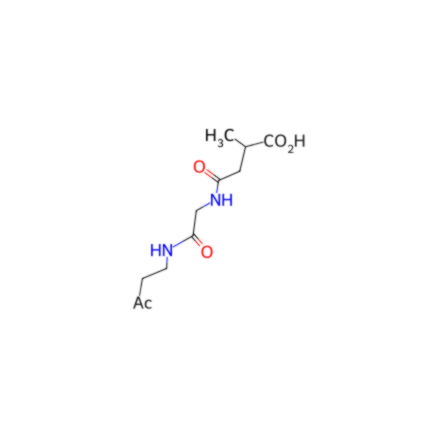 CC(=O)CCNC(=O)CNC(=O)CC(C)C(=O)O